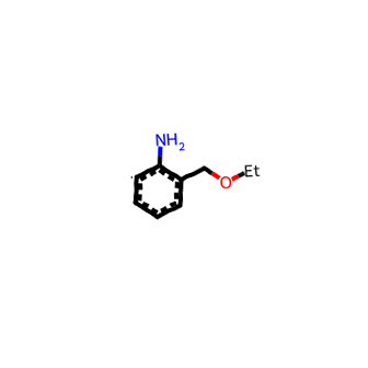 CCOCc1ccc[c]c1N